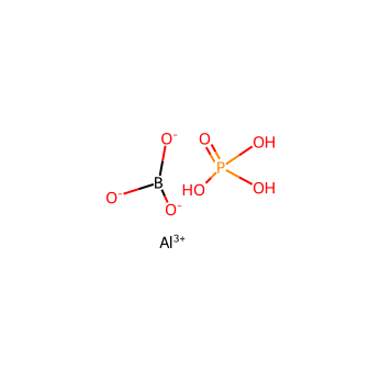 O=P(O)(O)O.[Al+3].[O-]B([O-])[O-]